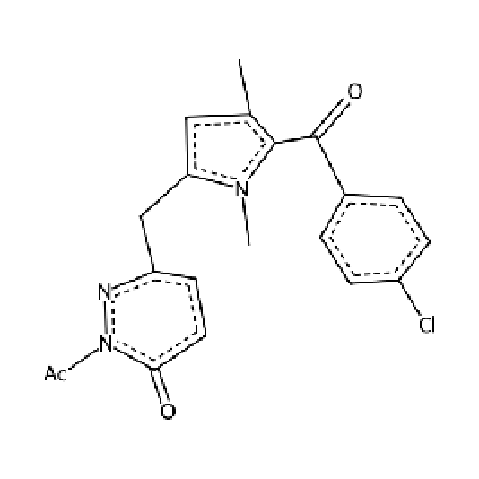 CC(=O)n1nc(Cc2cc(C)c(C(=O)c3ccc(Cl)cc3)n2C)ccc1=O